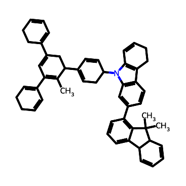 CC1=C(C2=CCCC=C2)C=C(C2=CC=CCC2)CC1C1=CCC(n2c3c(c4ccc(-c5cccc6c5C(C)(C)C5C=CC=CC65)cc42)CCC=C3)C=C1